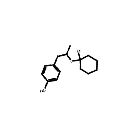 CCC1(OC(C)Cc2ccc(O)cc2)CCCCC1